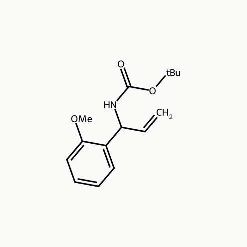 C=CC(NC(=O)OC(C)(C)C)c1ccccc1OC